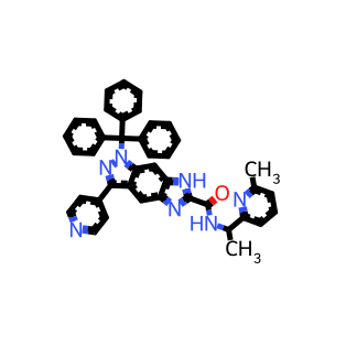 Cc1cccc(C(C)NC(=O)c2nc3cc4c(-c5ccncc5)nn(C(c5ccccc5)(c5ccccc5)c5ccccc5)c4cc3[nH]2)n1